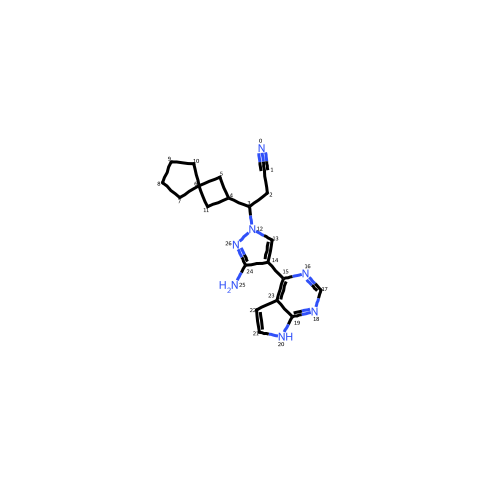 N#CCC(C1CC2(CCCC2)C1)n1cc(-c2ncnc3[nH]ccc23)c(N)n1